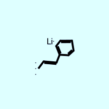 [C]C=Cc1ccccc1.[Li]